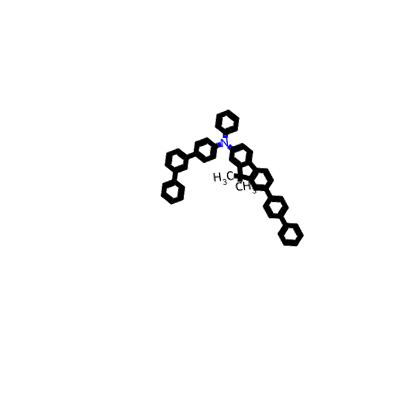 CC1(C)c2cc(-c3ccc(-c4ccccc4)cc3)ccc2-c2ccc(N(c3ccccc3)c3ccc(-c4cccc(-c5ccccc5)c4)cc3)cc21